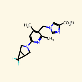 CCOC(=O)c1cn(Cc2c(C)cc(N3CC4C(C3)C4(F)F)nc2C)cn1